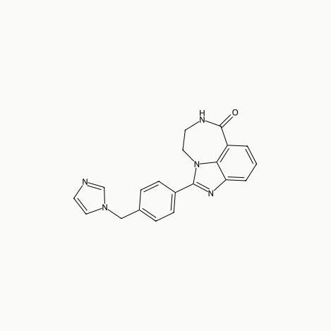 O=C1NCCn2c(-c3ccc(Cn4ccnc4)cc3)nc3cccc1c32